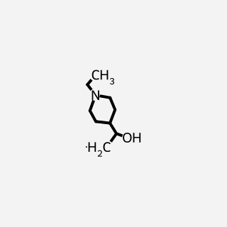 [CH2]C(O)C1CCN(CC)CC1